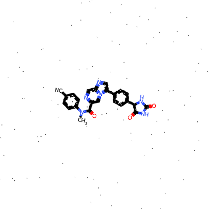 CN(C(=O)c1cn2c(-c3ccc(C4NC(=O)NC4=O)cc3)cnc2cn1)c1ccc(C#N)cc1